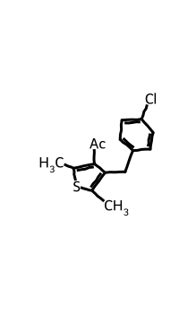 CC(=O)c1c(C)sc(C)c1Cc1ccc(Cl)cc1